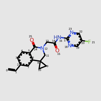 C=Cc1ccc2c(c1)C1(CC1)CN(CC(=O)Nc1ncc(F)cn1)C2=O